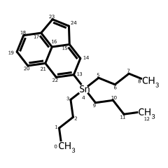 CCC[CH2][Sn]([CH2]CCC)([CH2]CCC)[c]1cc2c3c(cccc3c1)C=C2